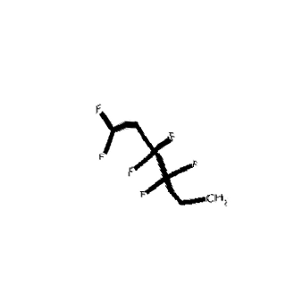 [CH2]CC(F)(F)C(F)(F)CC(F)F